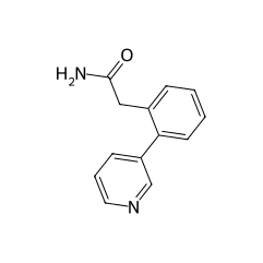 NC(=O)Cc1ccccc1-c1cccnc1